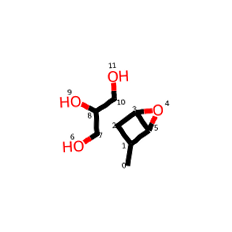 CC1CC2OC12.OCC(O)CO